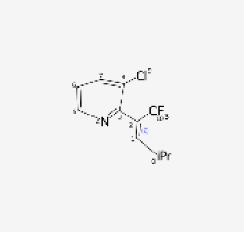 CC(C)/C=C(/c1ncccc1Cl)C(F)(F)F